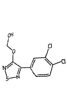 OCOc1nsnc1-c1ccc(Cl)c(Cl)c1